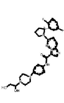 O=C(Nc1ccc(N2CCN(C(O)CO)CC2)cc1)c1cnc2ccc(N3CCC[C@@H]3c3cc(F)ccc3F)nn12